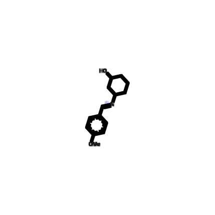 COc1ccc(/C=N/C2CCCC(O)C2)cc1